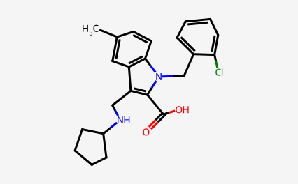 Cc1ccc2c(c1)c(CNC1CCCC1)c(C(=O)O)n2Cc1ccccc1Cl